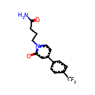 NC(=O)CCCn1ccc(-c2ccc(C(F)(F)F)cc2)cc1=O